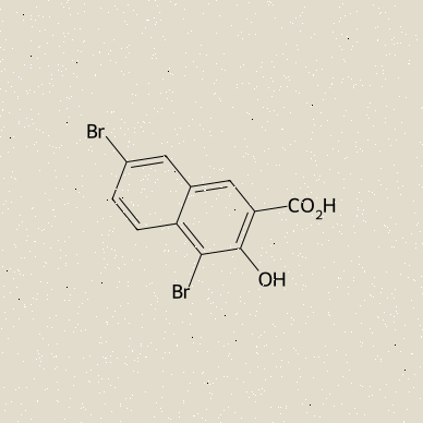 O=C(O)c1cc2cc(Br)ccc2c(Br)c1O